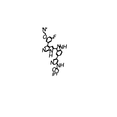 CC(C)CC(=O)Nc1cncc(-c2ccc3[nH]nc(-c4cc5c(-c6cc(F)cc(OCCN(C)C)c6)cncc5[nH]4)c3c2)c1